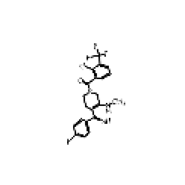 CNC1=C(C(=N)c2ccc(F)cc2)CCN(C(=O)c2cccc(C(F)(F)F)c2Cl)C1